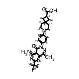 Cc1nn(-c2ccc(N3CCC4(CC3)CC(C(=O)O)C4)nc2)c(=O)c2c(N)nc(C(F)(F)F)nc12